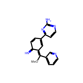 CO/C(=C1/C=C(c2ccnc(N)n2)C=CC1=N)c1cccnc1